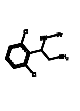 CC(C)NC(CN)c1c(Cl)cccc1Cl